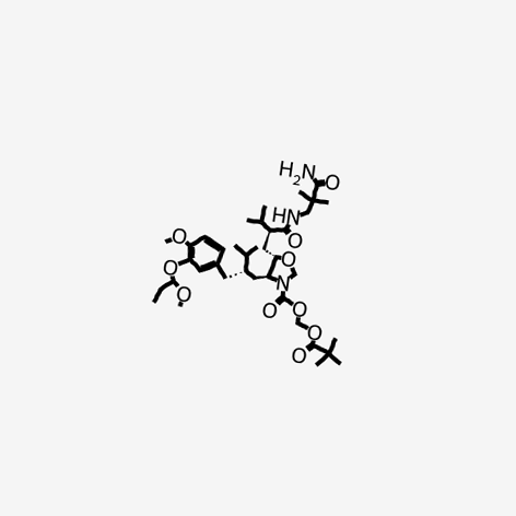 CCC(OC)Oc1cc(C[C@@H](C[C@H]2[C@H](C[C@H](C(=O)NCC(C)(C)C(N)=O)C(C)C)OCN2C(=O)OCOC(=O)C(C)(C)C)C(C)C)ccc1OC